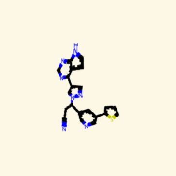 N#CCC(c1cncc(-c2cccs2)c1)n1cc(-c2ncnc3[nH]ccc23)cn1